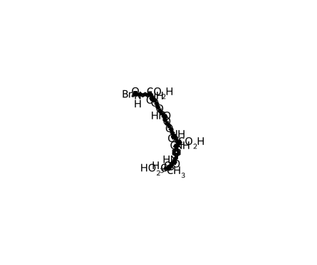 CC(C)(CC(=O)O)SCC(=O)NCC1CCC(C(=O)NC(CCC(=O)NCCOCCOCC(=O)NCCOCCOCC(=O)NC(CCCCNC(=O)CBr)C(=O)O)C(=O)O)CC1